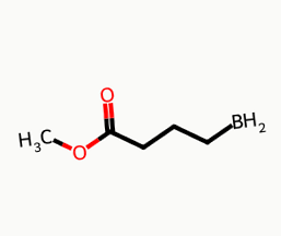 BCCCC(=O)OC